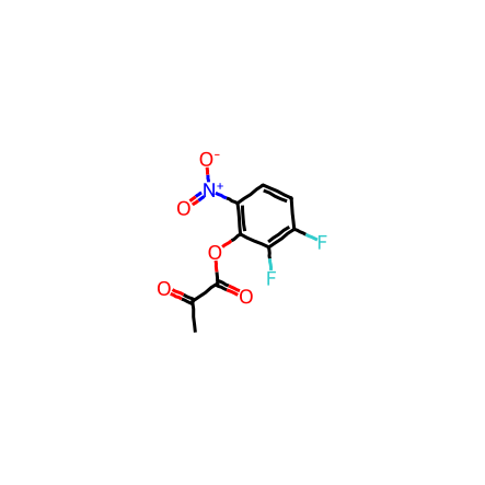 CC(=O)C(=O)Oc1c([N+](=O)[O-])ccc(F)c1F